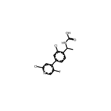 CC(NC(=O)O)c1ccc(-c2cc(Cl)ncc2F)cc1Cl